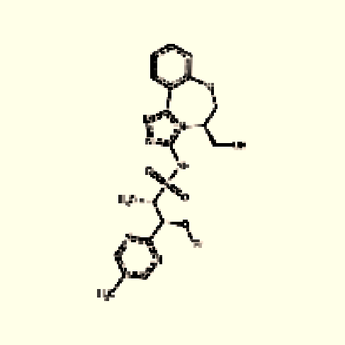 Cc1cnc([C@H](OC(C)C)[C@H](C)S(=O)(=O)Nc2nnc3n2[C@H](CO)COc2ncccc2-3)nc1